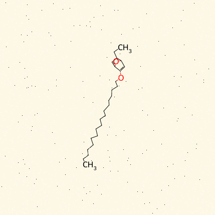 CCCCCCCCCCCCCCCCCCOc1cc2oc1cc2CC